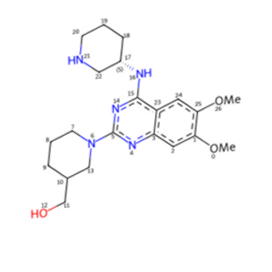 COc1cc2nc(N3CCCC(CO)C3)nc(N[C@H]3CCCNC3)c2cc1OC